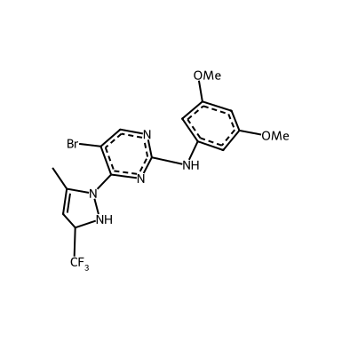 COc1cc(Nc2ncc(Br)c(N3NC(C(F)(F)F)C=C3C)n2)cc(OC)c1